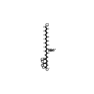 O=C([O-])CC(CC(Cl)CCCCCCCCCCCCCCCCCl)C(=O)[O-].[Na+].[Na+]